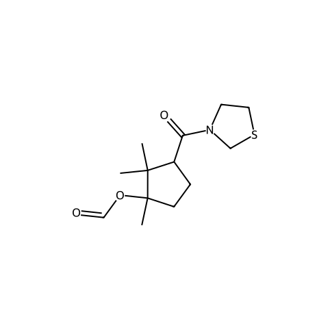 CC1(OC=O)CCC(C(=O)N2CCSC2)C1(C)C